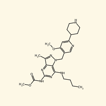 CCCCNc1nc(NC(=O)OC)nc2c(C)nn(Cc3cnc(C4CCNCC4)cc3OC)c12